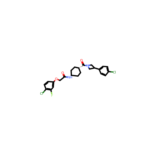 O=C(COc1ccc(Cl)c(F)c1)N[C@H]1CC[C@@H](C(=O)N2CC(c3ccc(Cl)cc3)C2)CC1